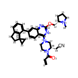 C=CC(=O)N1CCN(c2nc(OC[C@@H]3CCCN3C)nc3cc(-c4cccc5c4C4(CC5)CC4)ccc23)C[C@@H]1CC#N